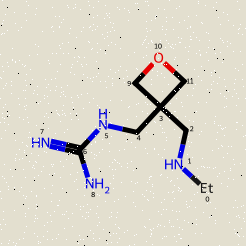 CCNCC1(CNC(=N)N)COC1